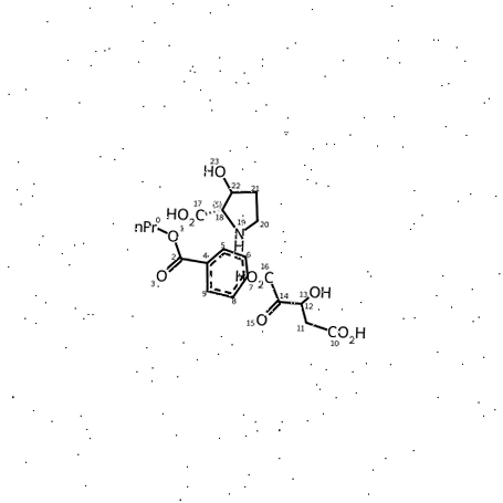 CCCOC(=O)c1ccccc1.O=C(O)CC(O)C(=O)C(=O)O.O=C(O)[C@H]1NCCC1O